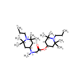 CCCN1C(C)(C)CC(OC(=O)CN(C)C2CC(C)(C)N(CCC)C(C)(C)C2)CC1(C)C